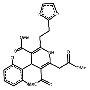 COC(=O)CC1=C(C(=O)OC)C(c2c(Cl)cccc2Cl)C(C(=O)OC)=C(CCc2ncco2)N1